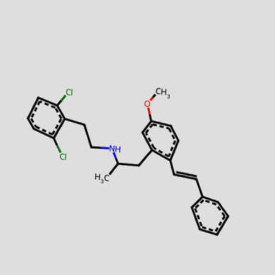 COc1ccc(/C=C/c2ccccc2)c(CC(C)NCCc2c(Cl)cccc2Cl)c1